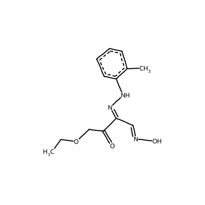 CCOCC(=O)C(/C=N/O)=N/Nc1ccccc1C